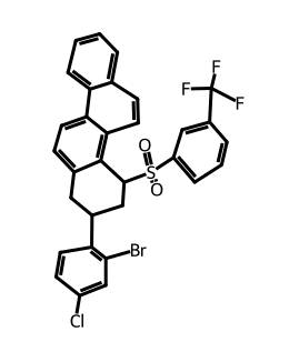 O=S(=O)(c1cccc(C(F)(F)F)c1)C1CC(c2ccc(Cl)cc2Br)Cc2ccc3c(ccc4ccccc43)c21